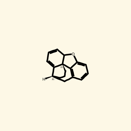 C1=CC2Oc3cccc4c3[C@@]23CCC[C@H](C4)C3=C1